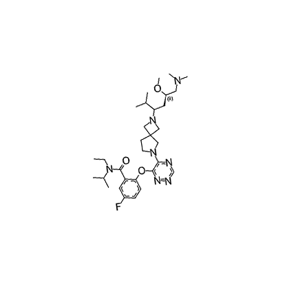 CCN(C(=O)c1cc(F)ccc1Oc1nncnc1N1CCC2(C1)CN(C(C[C@H](CN(C)C)OC)C(C)C)C2)C(C)C